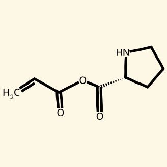 C=CC(=O)OC(=O)[C@H]1CCCN1